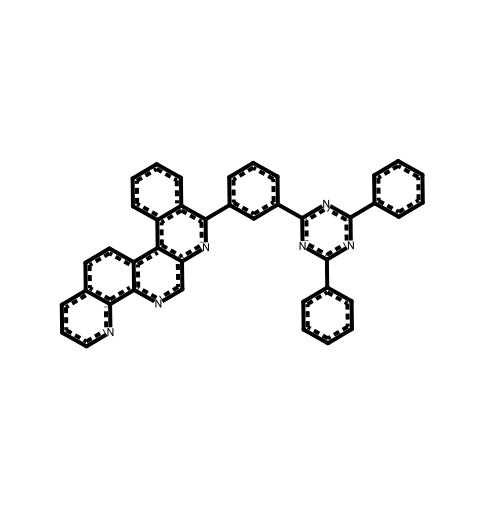 c1ccc(-c2nc(-c3ccccc3)nc(-c3cccc(-c4nc5cnc6c(ccc7cccnc76)c5c5ccccc45)c3)n2)cc1